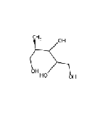 C[C@H](CO)C(O)C(O)CO